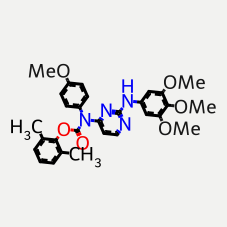 COc1ccc(N(C(=O)Oc2c(C)cccc2C)c2ccnc(Nc3cc(OC)c(OC)c(OC)c3)n2)cc1